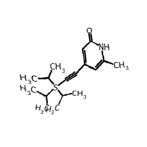 Cc1cc(C#CS(C(C)C)(C(C)C)C(C)C)cc(=O)[nH]1